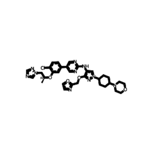 C[C@@H](Cn1cncn1)Oc1cc(-c2cnc(Nc3cn(C4CCC(N5CCOCC5)CC4)nc3OCc3ncco3)nc2)ccc1Cl